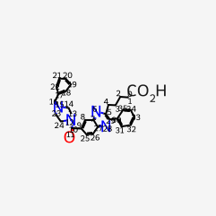 O=C(O)CCCCc1nc2cc(C(=O)N3CCN(Cc4ccccc4)CC3)ccc2nc1-c1ccccc1